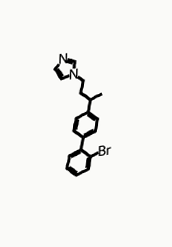 CC(CCn1ccnc1)c1ccc(-c2ccccc2Br)cc1